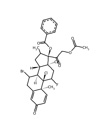 CC(=O)OCC(=O)[C@@]1(OC(=O)c2ccccc2)C(C)C[C@H]2[C@@H]3C(Br)CC4=CC(=O)C=C[C@]4(C)[C@@]3(Cl)C(F)C[C@@]21C